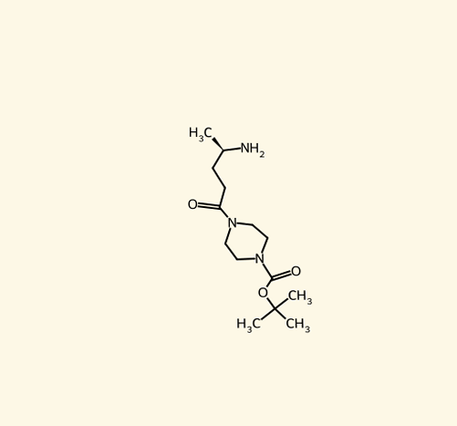 C[C@@H](N)CCC(=O)N1CCN(C(=O)OC(C)(C)C)CC1